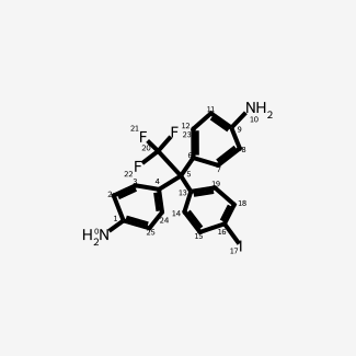 Nc1ccc(C(c2ccc(N)cc2)(c2ccc(I)cc2)C(F)(F)F)cc1